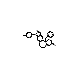 O=C1C=C2CCCc3cc4c(cnn4-c4ccc(F)cc4)cc3C2(Cc2ccccn2)CC1